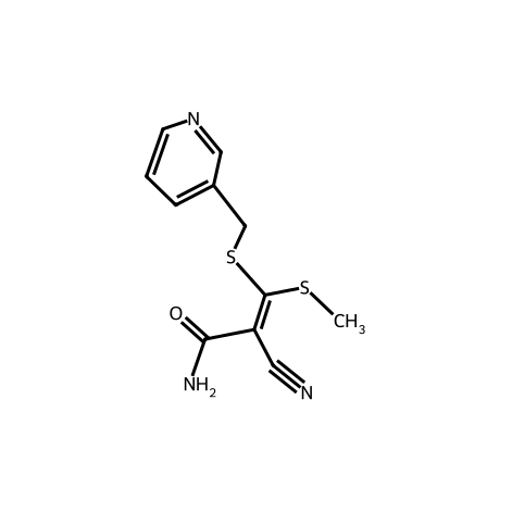 CSC(SCc1cccnc1)=C(C#N)C(N)=O